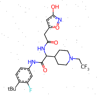 CC(C)(C)c1ccc(NC(=O)C(NC(=O)Cc2cc(O)no2)C2CCN(CC(F)(F)F)CC2)cc1F